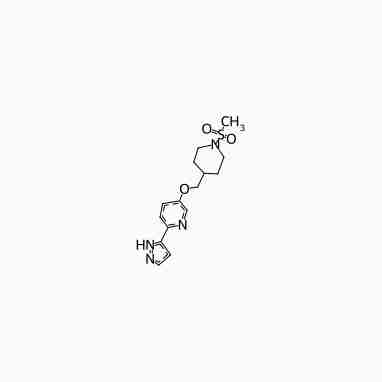 CS(=O)(=O)N1CCC(COc2ccc(-c3ccn[nH]3)nc2)CC1